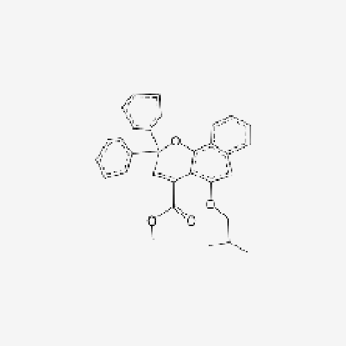 COC(=O)C1=CC(c2ccccc2)(c2ccccc2)Oc2c1c(OCC(C)C)cc1ccccc21